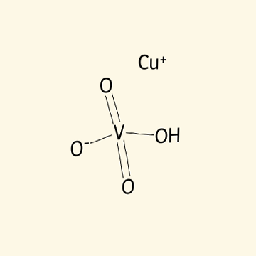 [Cu+].[O]=[V](=[O])([O-])[OH]